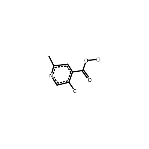 Cc1cc(C(=O)OCl)c(Cl)cn1